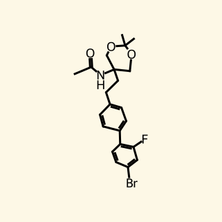 CC(=O)NC1(CCc2ccc(-c3ccc(Br)cc3F)cc2)COC(C)(C)OC1